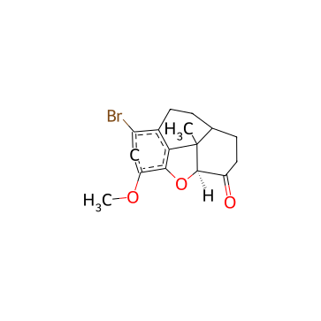 COc1cc(Br)c2c3c1O[C@@H]1C(=O)CCC(CC2)C31C